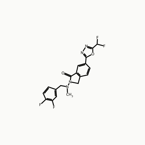 CN(Cc1ccc(F)c(F)c1)N1Cc2ccc(-c3nnc(C(F)F)o3)cc2C1=O